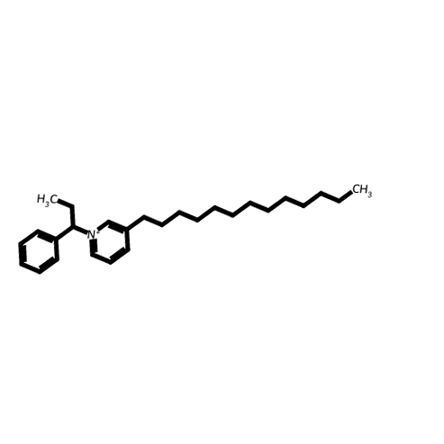 CCCCCCCCCCCCCc1ccc[n+](C(CC)c2ccccc2)c1